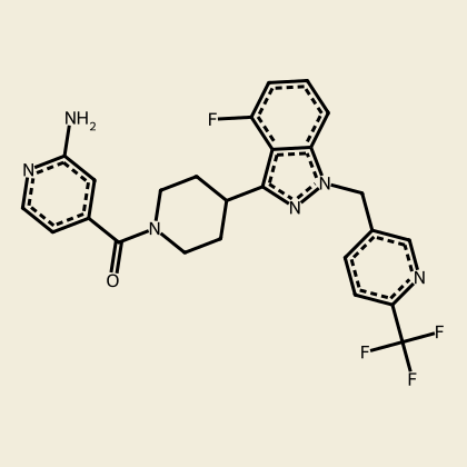 Nc1cc(C(=O)N2CCC(c3nn(Cc4ccc(C(F)(F)F)nc4)c4cccc(F)c34)CC2)ccn1